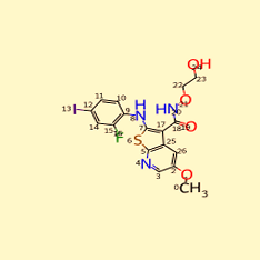 COc1cnc2sc(Nc3ccc(I)cc3F)c(C(=O)NOCCO)c2c1